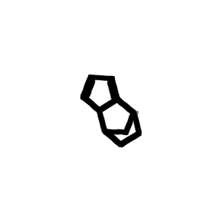 C1=CC2C(=C1)[C]1CCC2C1